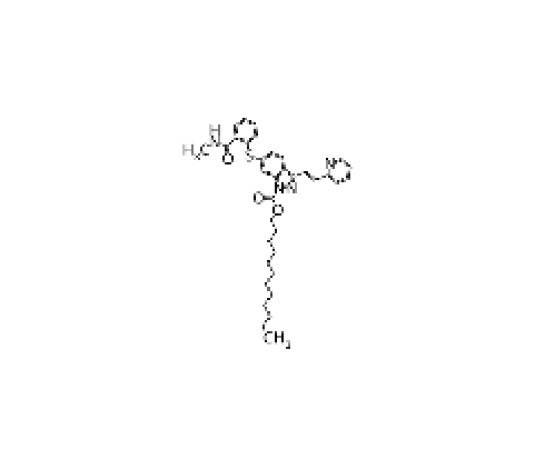 CCCCCCCCCCCCOC(=O)n1nc(/C=C/c2ccccn2)c2ccc(Sc3ccccc3C(=O)NC)cc21